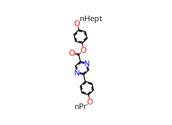 CCCCCCCOc1ccc(OC(=O)c2cnc(-c3ccc(OCCC)cc3)cn2)cc1